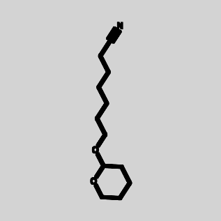 N#CCCCCCCOC1CCCCO1